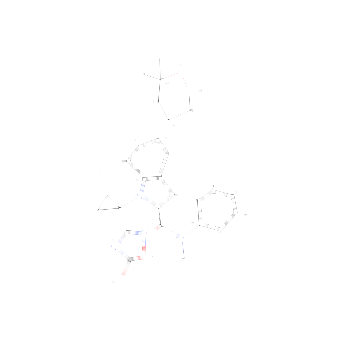 C[C@H]1C[C@]1(c1noc(=O)[nH]1)n1c(C(=O)N(C)c2ccccc2)cc2cc([C@H]3CCOC(C)(C)C3)ccc21